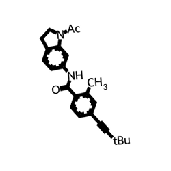 CC(=O)N1CCc2ccc(NC(=O)c3ccc(C#CC(C)(C)C)cc3C)cc21